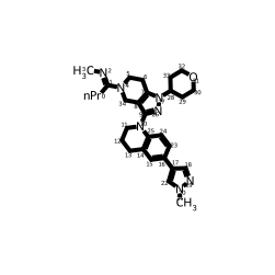 CCC/C(=N\C)N1CCc2c(c(N3CCCc4cc(-c5cnn(C)c5)ccc43)nn2C2CCOCC2)C1